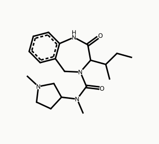 CCC(C)C1C(=O)Nc2ccccc2CN1C(=O)N(C)C1CCN(C)C1